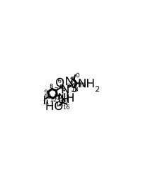 Cc1nc(NC(=O)c2ccc(I)cc2NC(C)O)sc1N